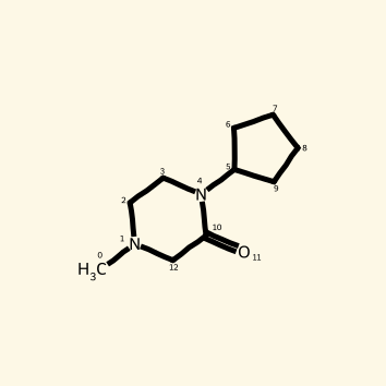 CN1CCN(C2CCCC2)C(=O)C1